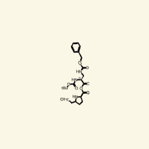 CC(C)(C)OC(=O)N[C@@H](CNC(=O)OCc1ccccc1)C(=O)OC(=O)C1CCC(CC=O)N1